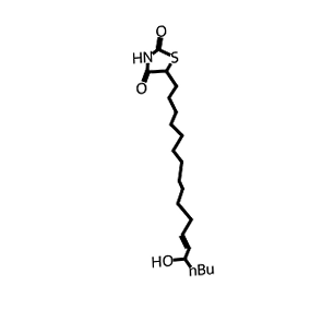 CCCCC(O)C=CCCCCCCCCCCCC1SC(=O)NC1=O